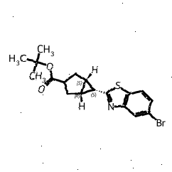 CC(C)(C)OC(=O)C1C[C@@H]2[C@H](C1)[C@@H]2c1nc2cc(Br)ccc2s1